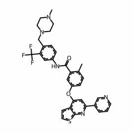 Cc1ccc(Oc2cc(-c3cccnc3)nc3sccc23)cc1C(=O)Nc1ccc(CN2CCN(C)CC2)c(C(F)(F)F)c1